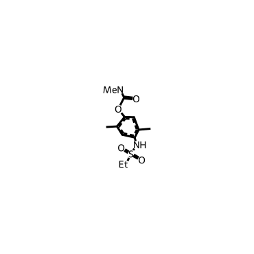 CCS(=O)(=O)Nc1cc(C)c(OC(=O)NC)cc1C